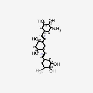 CC1CC(/C=C/C2CC(/C=C/C3CC(C)C(O)C(O)C3)C(O)CC2O)CC(O)C1O